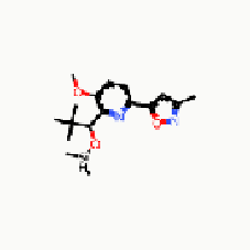 COc1ccc(-c2cc(C)no2)nc1C(O[SiH](C)C)C(C)(C)C